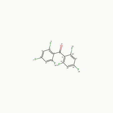 O=C(c1c(F)cc(F)cc1F)c1c(F)cc(F)cc1F